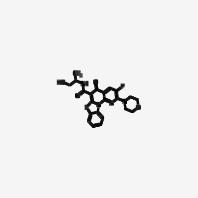 CC(CO)NC(=O)c1c(=O)c2cc(F)c(N3CCOCC3)nc2n2c1sc1ccccc12